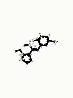 CCn1nccc1C(=Cc1cc(Br)cnc1N)OC